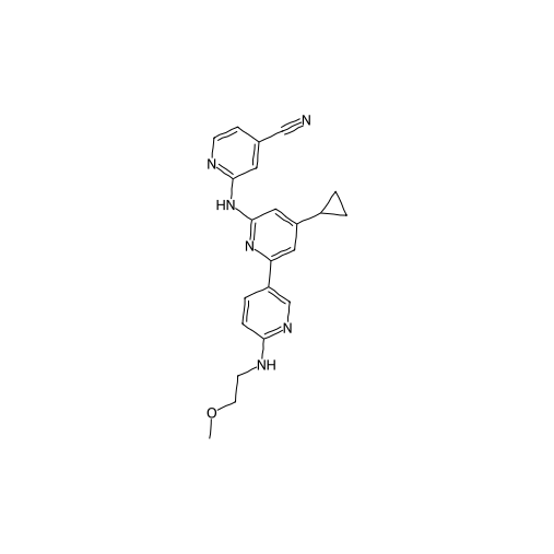 COCCNc1ccc(-c2cc(C3CC3)cc(Nc3cc(C#N)ccn3)n2)cn1